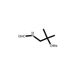 COC(C)(C)CNC=O